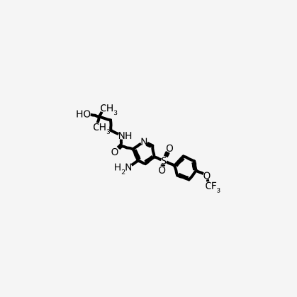 CC(C)(O)CCNC(=O)c1ncc(S(=O)(=O)c2ccc(OC(F)(F)F)cc2)cc1N